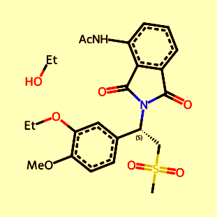 CCO.CCOc1cc([C@@H](CS(C)(=O)=O)N2C(=O)c3cccc(NC(C)=O)c3C2=O)ccc1OC